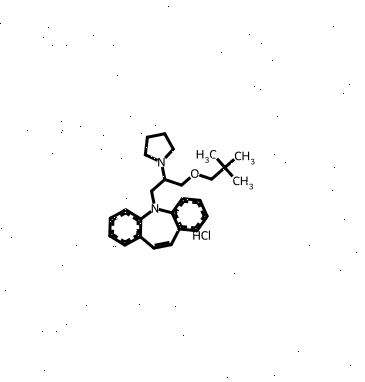 CC(C)(C)COCC(CN1c2ccccc2C=Cc2ccccc21)N1CCCC1.Cl